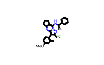 CCC(Nc1c2c(nc3c(-c4ccc(OC)cc4C)c(C)nn13)CCC2)c1ccccc1.Cl